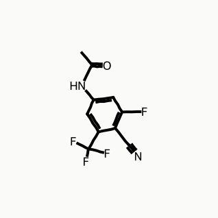 CC(=O)Nc1cc(F)c(C#N)c(C(F)(F)F)c1